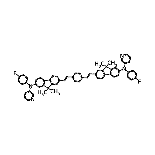 CC1(C)c2cc(/C=C/c3ccc(/C=C/c4ccc5c(c4)C(C)(C)c4cc(N(c6ccc(F)cc6)c6cccnc6)ccc4-5)cc3)ccc2-c2ccc(N(c3ccc(F)cc3)c3cccnc3)cc21